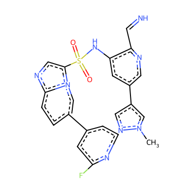 Cn1cc(-c2cnc(C=N)c(NS(=O)(=O)c3cnc4ccc(-c5ccnc(F)c5)cn34)c2)cn1